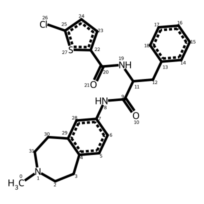 CN1CCc2ccc(NC(=O)C(Cc3ccccc3)NC(=O)c3ccc(Cl)s3)cc2CC1